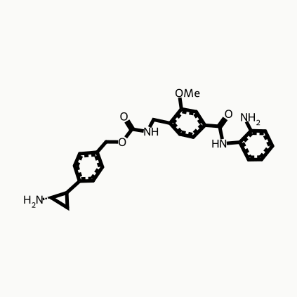 COc1cc(C(=O)Nc2ccccc2N)ccc1CNC(=O)OCc1ccc(C2C[C@@H]2N)cc1